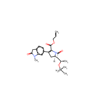 C=CCOC(=O)C1=C(c2ccc3c(c2)N(C)C(=O)C3)C[C@@H]2[C@@H]([C@@H](C)O[Si](C)(C)C)C(=O)N12